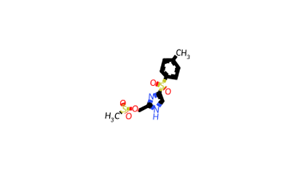 Cc1ccc(S(=O)(=O)c2c[nH]c(COS(C)(=O)=O)n2)cc1